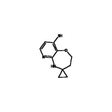 Sc1ccnc2c1OCCC1(CC1)N2